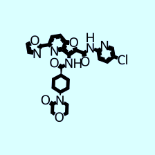 O=C(Nc1ccc(Cl)cn1)c1oc2ccc(-c3ncco3)nc2c1NC(=O)[C@H]1CC[C@H](N2CCOCC2=O)CC1